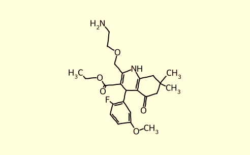 CCOC(=O)C1=C(COCCN)NC2=C(C(=O)CC(C)(C)C2)C1c1cc(OC)ccc1F